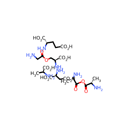 C[C@H](N)C(=O)O.C[C@H](N)C(=O)OC(=O)[C@H](C)N.NCC(=O)OC[C@H](N)C(=O)O.N[C@@H](CC(=O)O)C(=O)O.N[C@@H](CCC(=O)O)C(=O)O